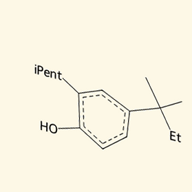 CCCC(C)c1cc(C(C)(C)CC)ccc1O